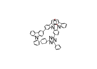 C1=CC(c2nc(-c3ccccc3)nc(-c3ccc(-n4c5ccccc5c5ccccc54)c(-n4c5ccccc5c5ccc(-c6ccc7c(c6)c6ccccc6n7-c6ccccc6)cc54)c3)n2)=CCC1